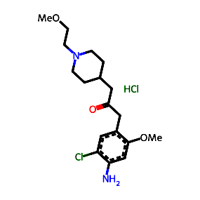 COCCN1CCC(CC(=O)Cc2cc(Cl)c(N)cc2OC)CC1.Cl